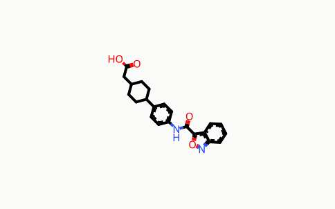 O=C(O)CC1CCC(c2ccc(NC(=O)c3onc4ccccc34)cc2)CC1